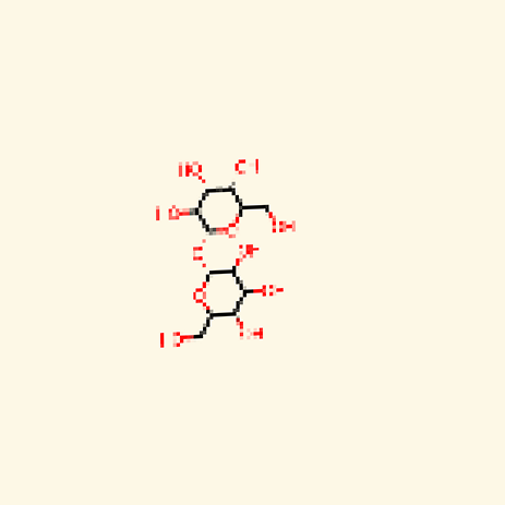 OCC1O[C@H](O[C@H]2OC(CO)[C@H](O)[C@H](O)C2O)C(O)[C@H](O)[C@@H]1O